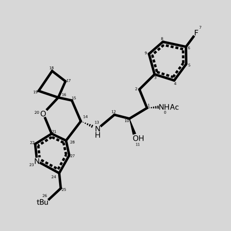 CC(=O)N[C@@H](Cc1ccc(F)cc1)[C@@H](O)CN[C@H]1CC2(CCC2)Oc2cnc(CC(C)(C)C)cc21